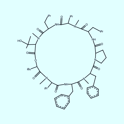 CCC(C)C1OC(=O)C(C(C)(C)O)N(C)C(=O)C(CC(C)C)NC(=O)C(C(C)C)N(C)C(=O)C(CC(C)C)NC(=O)C2CCCN2C(=O)C(Cc2ccccc2)N(C)C(=O)C(Cc2ccccc2)NC(=O)C(C(C)C)N(C)C1=O